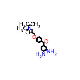 CC(C)N(CCCOc1ccc(C(=O)c2ccc(N)c(N)c2)cc1)C(C)C